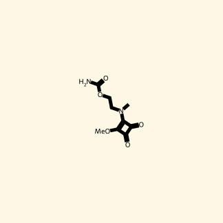 COc1c(N(C)CCOC(N)=O)c(=O)c1=O